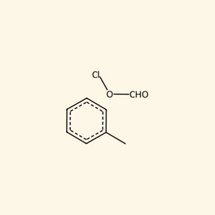 Cc1ccccc1.O=COCl